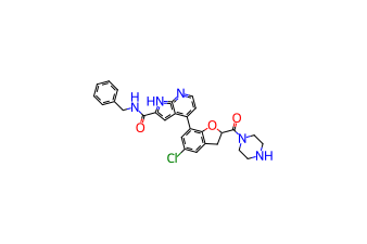 O=C(NCc1ccccc1)c1cc2c(-c3cc(Cl)cc4c3OC(C(=O)N3CCNCC3)C4)ccnc2[nH]1